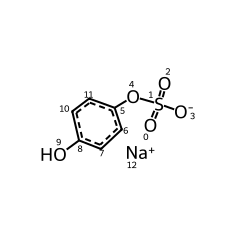 O=S(=O)([O-])Oc1ccc(O)cc1.[Na+]